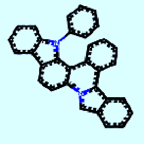 c1ccc(-n2c3ccccc3c3ccc4c(c5ccccc5c5c6ccccc6cn45)c32)cc1